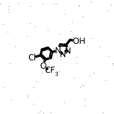 OCc1cn(-c2ccc(Cl)c(OC(F)(F)F)c2)nn1